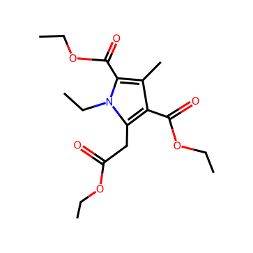 CCOC(=O)Cc1c(C(=O)OCC)c(C)c(C(=O)OCC)n1CC